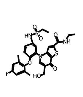 CCNC(=O)c1cc2c(s1)c(=O)c(CO)cn2-c1cc(NS(=O)(=O)CC)ccc1Oc1c(C)cc(F)cc1C